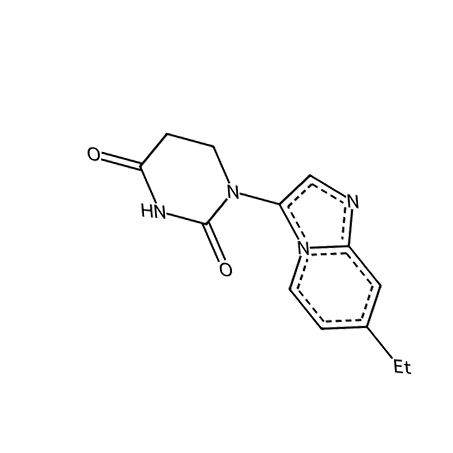 CCc1ccn2c(N3CCC(=O)NC3=O)cnc2c1